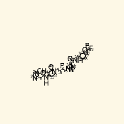 Cn1ccnc1CC(=O)Nc1ccn(CCC(F)Cn2cc(C(=O)NCc3cccc(OC(F)(F)F)c3)nn2)c(=O)c1